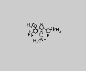 CNC1CCN(c2c(-c3cc(F)cc(OC)c3)cncc2-c2ccc(C(F)(F)F)cc2OC)CC1